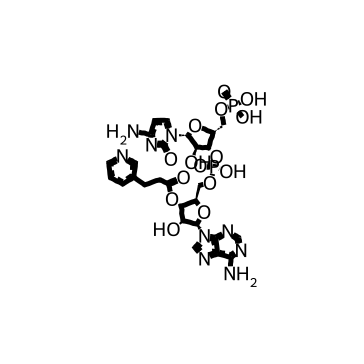 Nc1ccn([C@@H]2O[C@H](COP(=O)(O)O)[C@@H](OP(=O)(O)OC[C@H]3O[C@@H](n4cnc5c(N)ncnc54)[C@H](O)[C@@H]3OC(=O)CCc3cccnc3)[C@H]2O)c(=O)n1